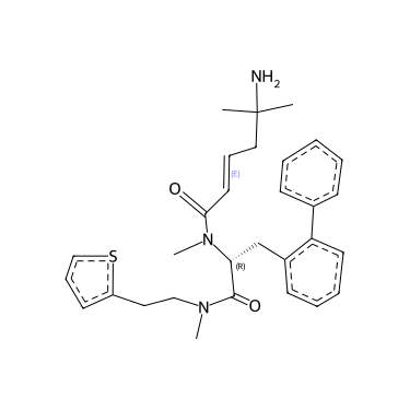 CN(CCc1cccs1)C(=O)[C@@H](Cc1ccccc1-c1ccccc1)N(C)C(=O)/C=C/CC(C)(C)N